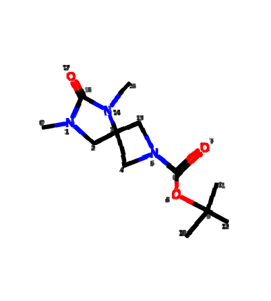 CN1CC2(CN(C(=O)OC(C)(C)C)C2)N(C)C1=O